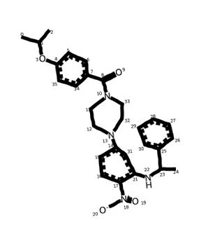 CC(C)Oc1ccc(C(=O)N2CCN(c3ccc([N+](=O)[O-])c(NC(C)c4ccccc4)c3)CC2)cc1